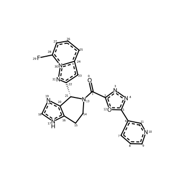 O=C(c1nnc(-c2cccnc2)o1)N1CCc2[nH]cnc2[C@@H]1c1cc2cccc(F)n2n1